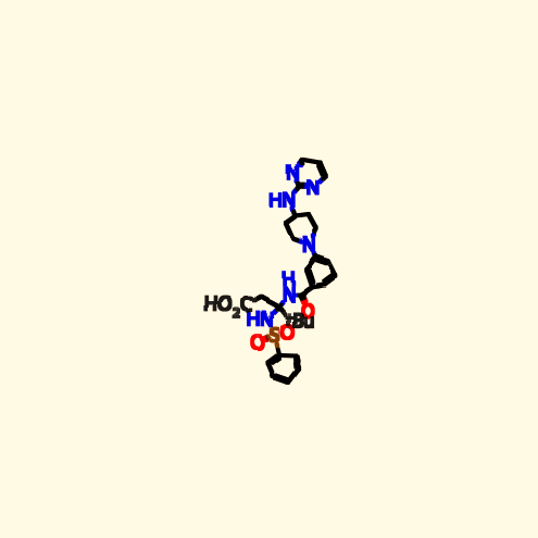 CC(C)(C)C(CC(=O)O)(NC(=O)c1cccc(N2CCC(Nc3ncccn3)CC2)c1)NS(=O)(=O)c1ccccc1